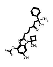 CC1(n2c(CCCC(=O)C[C@](C)(O)c3ccccc3)nc3c(OC(F)F)cc(C#N)cc32)CCC1